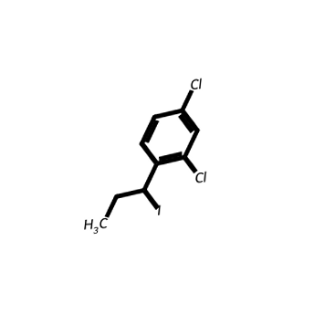 CCC(I)c1ccc(Cl)cc1Cl